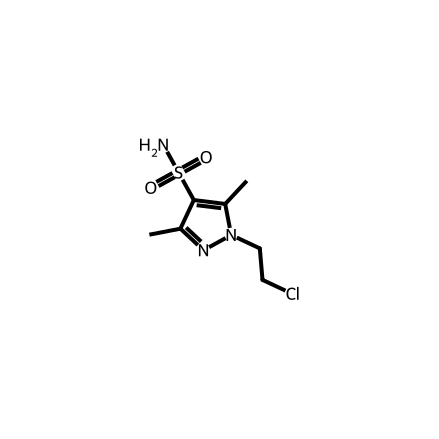 Cc1nn(CCCl)c(C)c1S(N)(=O)=O